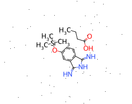 CCCC(=O)O.C[Si](C)(C)Oc1ccc2c(c1)C(=N)NC2=N